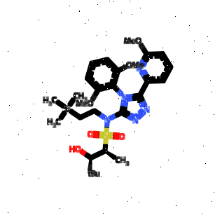 COc1cccc(-c2nnc(N(CC[Si](C)(C)C)S(=O)(=O)[C@@H](C)[C@H](O)C(C)(C)C)n2-c2c(OC)cccc2OC)n1